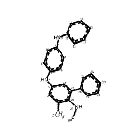 Cc1cc(Nc2ccc(Nc3ccccc3)cc2)cc(-c2ccccc2)c1NF